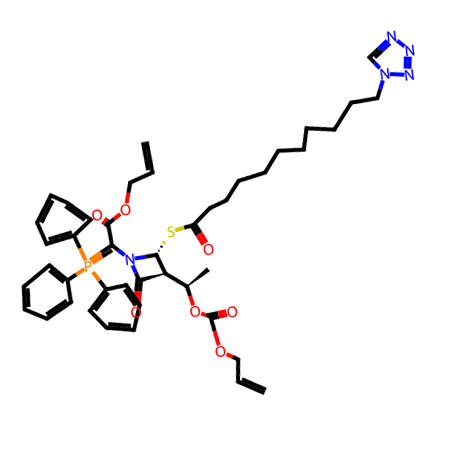 C=CCOC(=O)O[C@H](C)[C@H]1C(=O)N(C(C(=O)OCC=C)=P(c2ccccc2)(c2ccccc2)c2ccccc2)[C@@H]1SC(=O)CCCCCCCCCCn1cnnn1